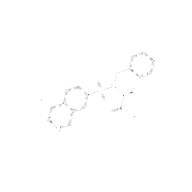 C[C@@H](C(=O)O)N(Cc1ccccc1)S(=O)(=O)c1ccc2c(Cl)cnc(Cl)c2c1